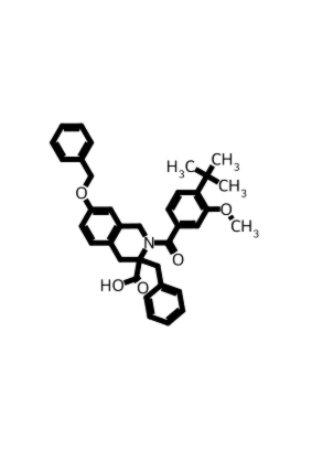 COc1cc(C(=O)N2Cc3cc(OCc4ccccc4)ccc3CC2(Cc2ccccc2)C(=O)O)ccc1C(C)(C)C